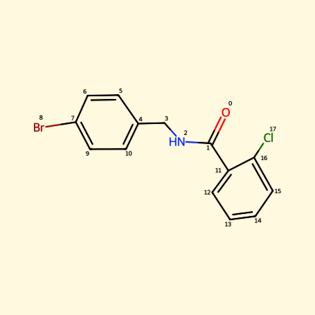 O=C(NCc1ccc(Br)cc1)c1ccccc1Cl